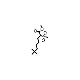 COC(=O)C(CCCCC(C)(C)C)S(C)(=O)=O